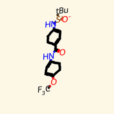 CC(C)(C)[S+]([O-])NC1=CC=C(C(=O)NC2=CC=C(OC(F)(F)F)CC2)CC1